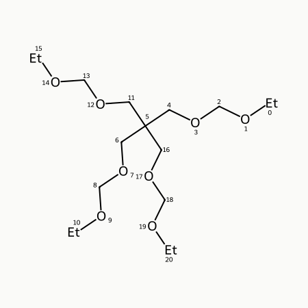 CCOCOCC(COCOCC)(COCOCC)COCOCC